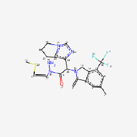 C=C1c2cc(C)cc(C(F)(F)F)c2CN1C(C(=O)N(N)/C=C\SC)c1ncn2c1CCC2